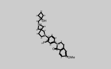 COc1ccc2c(c1)CCN(c1ccc(N3CCC4(CN(CC5(O)CCC5)C4)C3)c(F)c1)C2=O